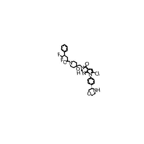 O=C(CC(c1ccccc1)C(F)F)N1CCC(O)(Cn2cnc3c(cc(Cl)n3-c3ccc([C@H]4COCCN4)cc3)c2=O)CC1